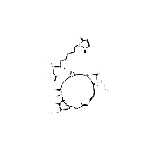 COc1cc2cc(c1Cl)N(C)C(=O)C[C@H](OC(=O)[C@H](C)N(C)C(=O)CCCCCN1C(=O)C=CC1=O)[C@]1(C)OC1[C@H](C)[C@@H]1C[C@@](O)(NC(=O)O1)[C@H](OC)/C=C/C=C(\C)C2